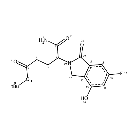 CC(C)(C)OC(=O)CCC(C(N)=O)N1Cc2c(O)cc(F)cc2C1=O